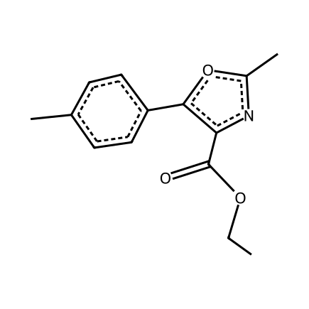 CCOC(=O)c1nc(C)oc1-c1ccc(C)cc1